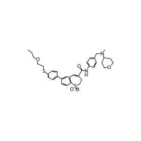 CCCOCCSc1ccc(-c2ccc3c(c2)C=C(C(=O)Nc2ccc(CN(C)C4CCOCC4)cc2)CCS3(=O)=O)cc1